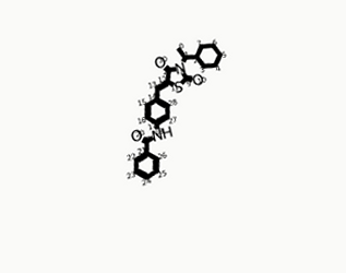 CC(C1CCCCC1)N1C(=O)S/C(=C\c2ccc(NC(=O)c3ccccc3)cc2)C1=O